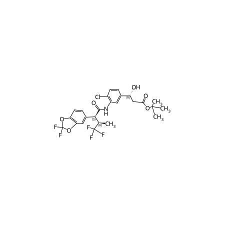 C[C@H]([C@H](C(=O)Nc1cc([C@H](O)CC(=O)OC(C)(C)C)ccc1Cl)c1ccc2c(c1)OC(F)(F)O2)C(F)(F)F